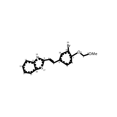 COCOc1ccc(/C=C/c2nc3ccccc3s2)cc1Br